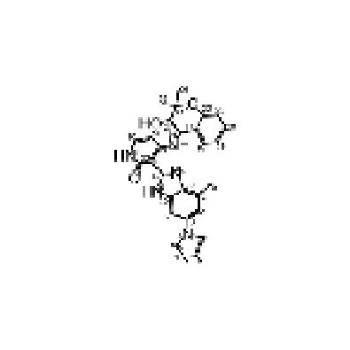 Cc1cc(-n2ccnc2)cc2[nH]c(-c3c(NC4c5ccccc5OC(C)(C)C4O)cc[nH]c3=O)nc12